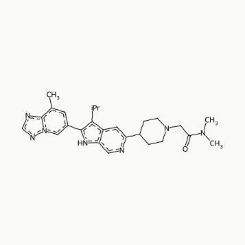 Cc1cc(-c2[nH]c3cnc(C4CCN(CC(=O)N(C)C)CC4)cc3c2C(C)C)cn2ncnc12